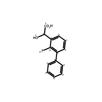 O=C(O)C(O)c1cccc(-c2ccccc2)c1F